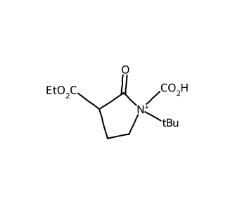 CCOC(=O)C1CC[N+](C(=O)O)(C(C)(C)C)C1=O